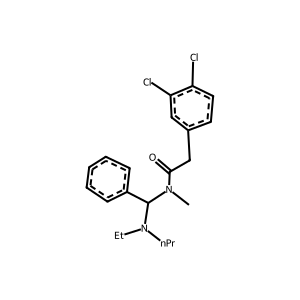 CCCN(CC)C(c1ccccc1)N(C)C(=O)Cc1ccc(Cl)c(Cl)c1